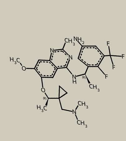 COc1cc2nc(C)nc(N[C@H](C)c3cc(N)cc(C(F)(F)F)c3F)c2cc1O[C@H](C)C1(CN(C)C)CC1